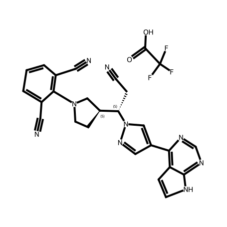 N#CC[C@@H]([C@H]1CCN(c2c(C#N)cccc2C#N)C1)n1cc(-c2ncnc3[nH]ccc23)cn1.O=C(O)C(F)(F)F